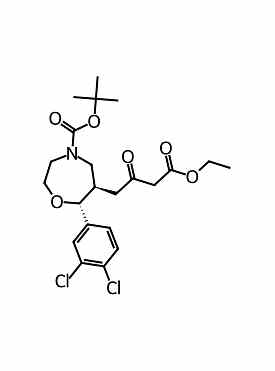 CCOC(=O)CC(=O)C[C@@H]1CN(C(=O)OC(C)(C)C)CCO[C@H]1c1ccc(Cl)c(Cl)c1